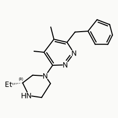 CC[C@@H]1CN(c2nnc(Cc3ccccc3)c(C)c2C)CCN1